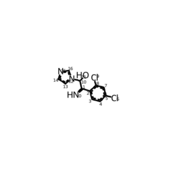 N=C(c1ccc(Cl)cc1Cl)C(O)n1ccnc1